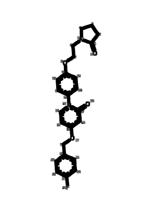 O=C1CCCN1CCOc1ccc(-n2ccc(OCc3ccc(F)cc3)cc2=O)cc1